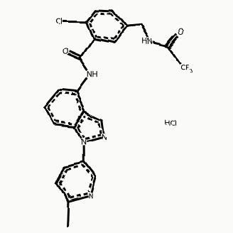 Cc1ccc(-n2ncc3c(NC(=O)c4cc(CNC(=O)C(F)(F)F)ccc4Cl)cccc32)cn1.Cl